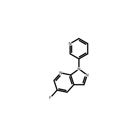 Fc1cnc2c(cnn2-c2cccnc2)c1